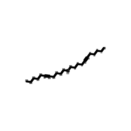 CCCCCC#CCCCCOCCCCC#CCCCCC